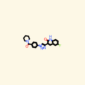 O=C(c1ccc(-n2cc(-c3cc4cc(F)ccc4[nH]c3=O)nn2)cc1)N1CCCCC1